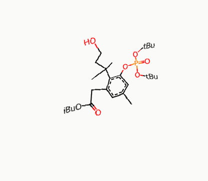 Cc1cc(CC(=O)OCC(C)C)c(C(C)(C)CCO)c(OP(=O)(OC(C)(C)C)OC(C)(C)C)c1